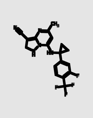 CC1=NC2=C(C#N)CNN2C(NC2(c3ccc(C(F)(F)F)c(F)c3)CC2)=C1